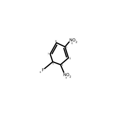 O=[N+]([O-])C1=CC([N+](=O)[O-])[C](F)C=C1